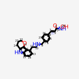 O=C(/C=C/c1ccc(CNCCc2cccc3[nH]c4c(c23)OCCC4)cc1)NO